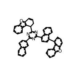 C1=Cc2oc3ccccc3c2C(c2nc(-c3ccc4ccccc4c3)nc(-c3ccc(-c4cccc5oc6ccccc6c45)c4ccccc34)n2)C1